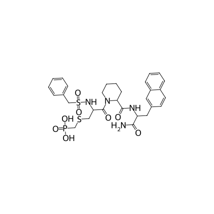 NC(=O)C(Cc1ccc2ccccc2c1)NC(=O)C1CCCCN1C(=O)C(CSCP(=O)(O)O)NS(=O)(=O)Cc1ccccc1